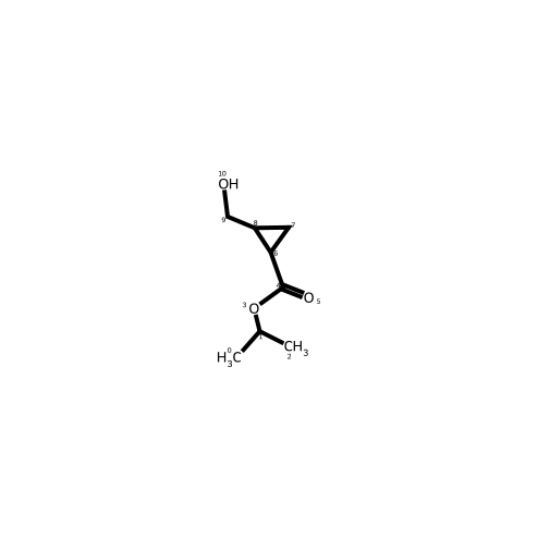 CC(C)OC(=O)C1CC1CO